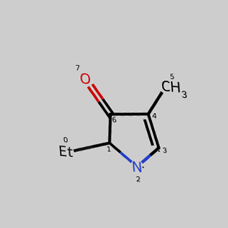 CCC1[N][C]=C(C)C1=O